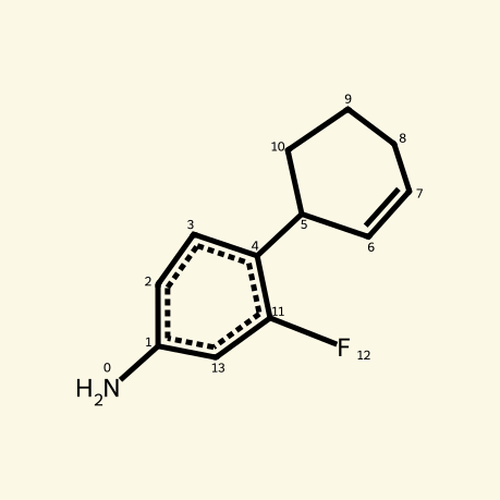 Nc1ccc(C2C=CCCC2)c(F)c1